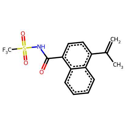 C=C(C)c1ccc(C(=O)NS(=O)(=O)C(F)(F)F)c2ccccc12